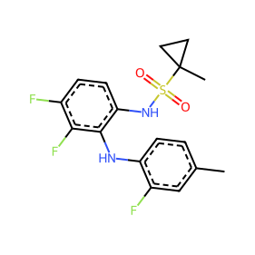 Cc1ccc(Nc2c(NS(=O)(=O)C3(C)CC3)ccc(F)c2F)c(F)c1